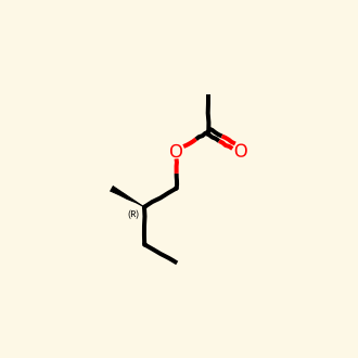 CC[C@@H](C)COC(C)=O